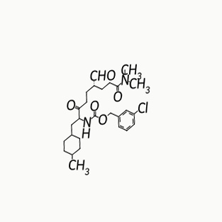 CC1CCC(CC(NC(=O)OCc2cccc(Cl)c2)C(=O)CC[C@H](C=O)CCC(=O)N(C)C)CC1